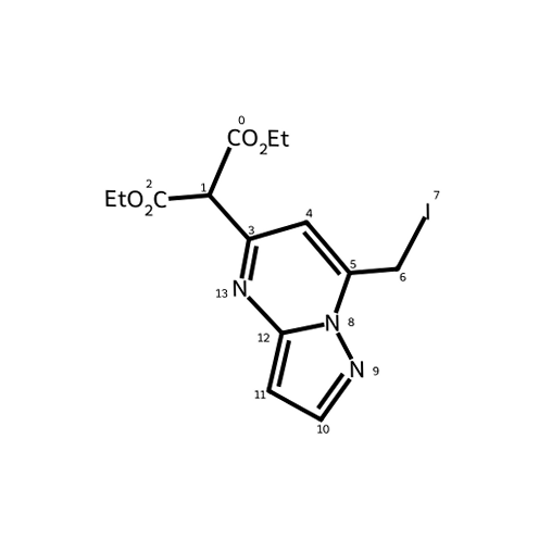 CCOC(=O)C(C(=O)OCC)c1cc(CI)n2nccc2n1